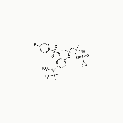 CC(C)(C[C@@H]1CN(S(=O)(=O)c2ccc(F)cc2)c2cc(N(C(=O)O)C(C)(C)C(F)(F)F)ccc2O1)NS(=O)(=O)C1CC1